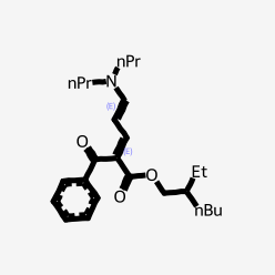 CCCCC(CC)COC(=O)/C(=C/C=C/N(CCC)CCC)C(=O)c1ccccc1